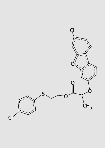 CC(Oc1ccc2c(c1)oc1cc(Cl)ccc12)C(=O)OCCSc1ccc(Cl)cc1